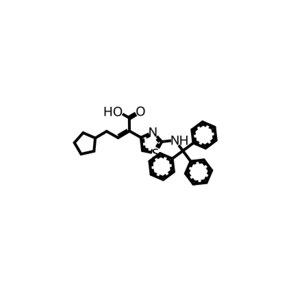 O=C(O)C(=CCC1CCCC1)c1csc(NC(c2ccccc2)(c2ccccc2)c2ccccc2)n1